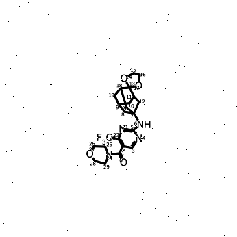 O=C(c1cnc(NC23CC4CC(C2)C2(OCCO2)C(C4)C3)nc1C(F)(F)F)N1CCOCC1